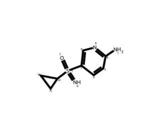 N=S(=O)(c1ccc(N)nc1)C1CC1